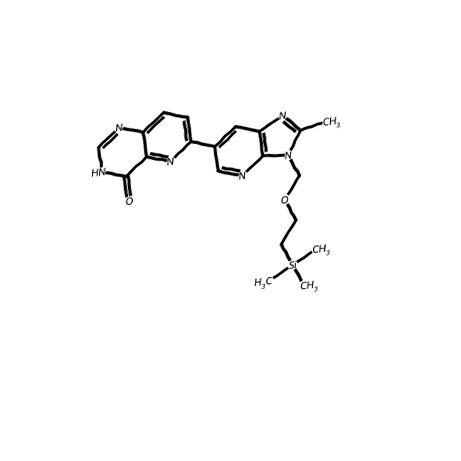 Cc1nc2cc(-c3ccc4nc[nH]c(=O)c4n3)cnc2n1COCC[Si](C)(C)C